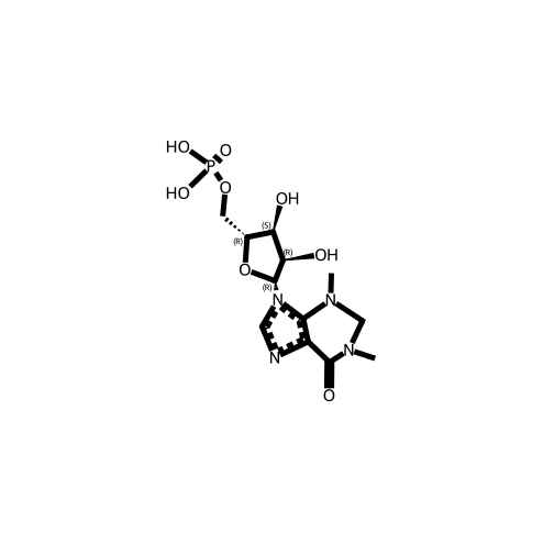 CN1CN(C)c2c(ncn2[C@@H]2O[C@H](COP(=O)(O)O)[C@@H](O)[C@H]2O)C1=O